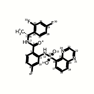 C[C@@H](NC(=O)c1ccc(F)cc1NS(=O)(=O)c1cccc2nccnc12)c1ccc(F)cc1F